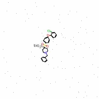 CCOC(=O)C1(S(=O)(=O)c2ccc(Oc3ccccc3Cl)cc2)CCN(Cc2ccccc2)CC1